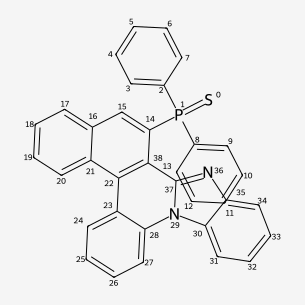 S=P(c1ccccc1)(c1ccccc1)c1cc2ccccc2c2c3ccccc3n3c4ccccc4nc3c12